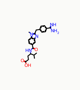 CC(C)C(CCC(=O)O)NC(=O)c1ccc2c(c1)nc(Cc1ccc(C(=N)N)cc1)n2C